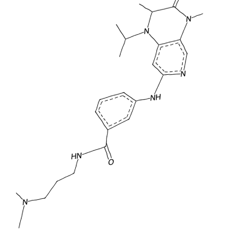 CC(C)N1c2cc(Nc3cccc(C(=O)NCCCN(C)C)c3)ncc2N(C)C(=O)C1C